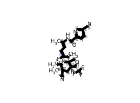 C=C(/C(F)=C\C=C(/C)NC(=O)c1ccc(C#N)cn1)[C@]12CO[C@H](C(F)(F)F)[C@H]1C[C@@](C)(C#N)C(N)=N2